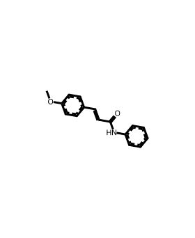 COc1ccc(/C=C/C(=O)Nc2ccccc2)cc1